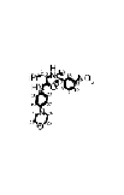 CC(C)C[C@H](NS(=O)(=O)c1cccc([N+](=O)[O-])c1)C(=O)Nc1ccc(N2CCOCC2)cc1